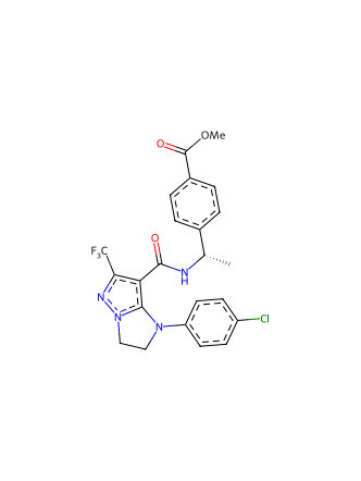 COC(=O)c1ccc([C@H](C)NC(=O)c2c(C(F)(F)F)nn3c2N(c2ccc(Cl)cc2)CC3)cc1